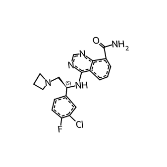 NC(=O)c1cccc2c(N[C@H](CN3CCC3)c3ccc(F)c(Cl)c3)ncnc12